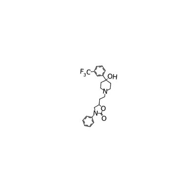 O=C1OC(CCN2CCC(O)(c3cccc(C(F)(F)F)c3)CC2)CN1c1ccccc1